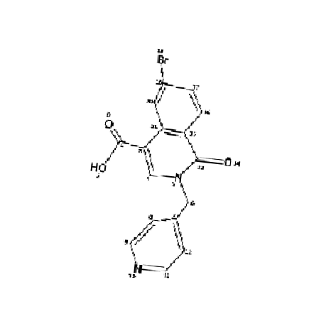 O=C(O)c1cn(Cc2ccncc2)c(=O)c2ccc(Br)cc12